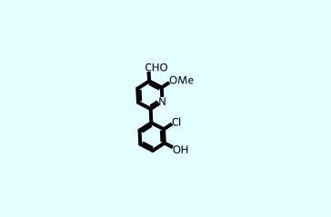 COc1nc(-c2cccc(O)c2Cl)ccc1C=O